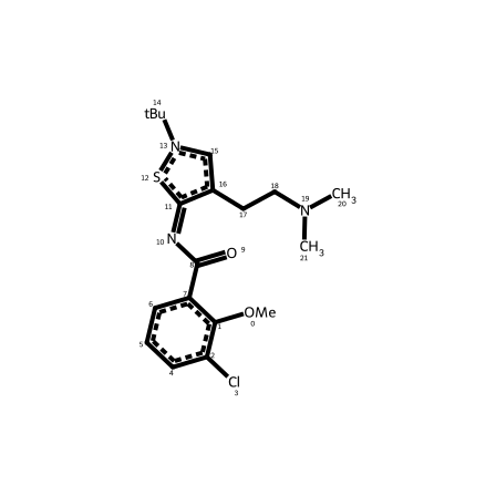 COc1c(Cl)cccc1C(=O)N=c1sn(C(C)(C)C)cc1CCN(C)C